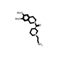 COc1cc2c(cc1OC)CN(C(=O)[C@@H]1CCCN(CCN)C1)CC2